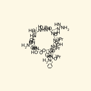 CC[C@H](C)C1NC(=O)[C@@H](CCCNC(=N)N)NC(=O)[C@H](CC(C)C)NC(=O)[C@H]([C@H](O)C(C)C)NC(=O)[C@@H](NC(=O)[C@H](CC(C)C)NC(=O)[C@H](N)Cc2ccccc2)[C@@H](c2ccccc2)OC(=O)[C@H](CO)NC(=O)[C@H]([C@H](O)C(N)=O)NC(=O)CNC(=O)C([C@H](C)O)NC1=O